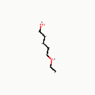 [CH2]COCCCCCO